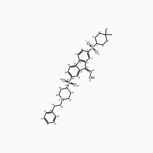 CC1(C)CCC(S(=O)(=O)c2ccc3c(c2)/C(=N/O)c2cc(S(=O)(=O)N4CCN(CCc5ccccc5)CC4)ccc2-3)CC1